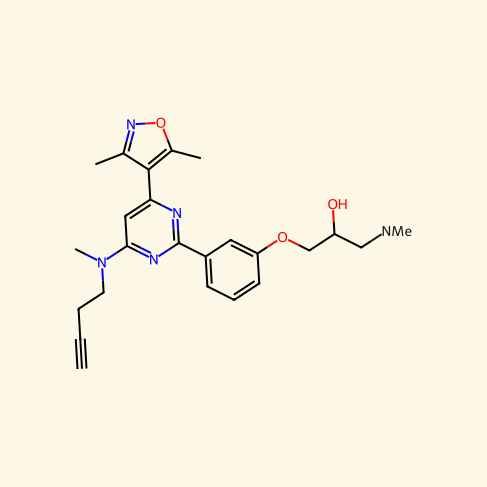 C#CCCN(C)c1cc(-c2c(C)noc2C)nc(-c2cccc(OCC(O)CNC)c2)n1